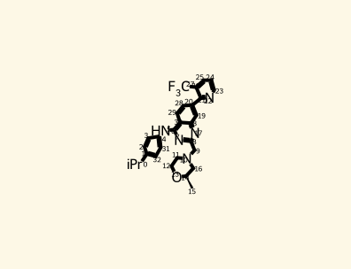 CC(C)c1ccc(Nc2nc(CN3CCO[C@H](C)C3)nc3cc(-c4ncccc4C(F)(F)F)ccc23)cc1